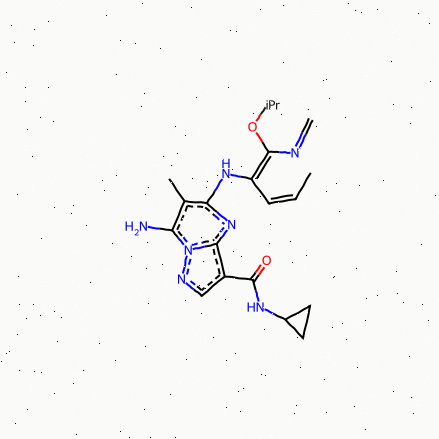 C=N/C(OC(C)C)=C(\C=C/C)Nc1nc2c(C(=O)NC3CC3)cnn2c(N)c1C